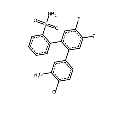 Cc1cc(-c2cc(F)c(F)cc2-c2ccccc2S(N)(=O)=O)ccc1Cl